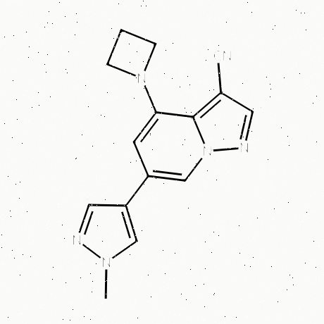 Cn1cc(-c2cc(N3CCC3)c3c(C#N)cnn3c2)cn1